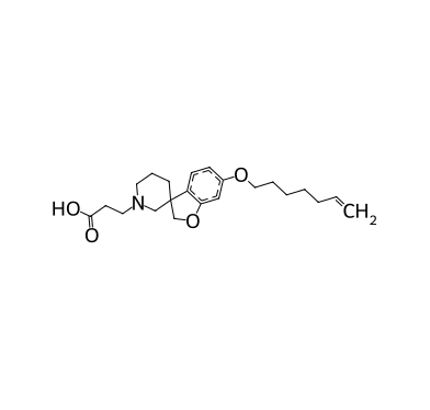 C=CCCCCCOc1ccc2c(c1)OCC21CCCN(CCC(=O)O)C1